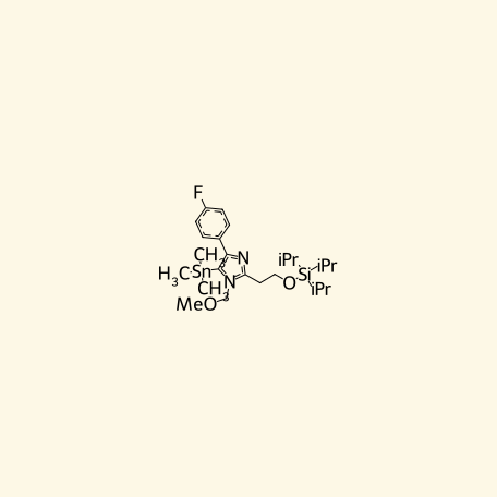 COCn1c(CCO[Si](C(C)C)(C(C)C)C(C)C)nc(-c2ccc(F)cc2)[c]1[Sn]([CH3])([CH3])[CH3]